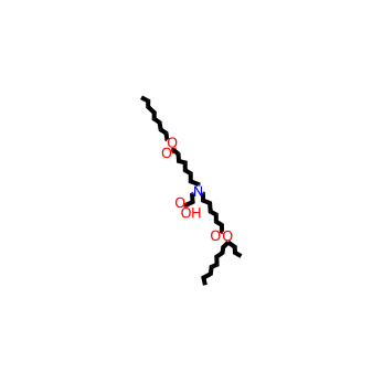 CCCCCCCCCOC(=O)CCCCCCCN(CCCCCCCC(=O)OC(CCC)CCCCCCCC)CCC(=O)O